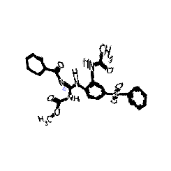 COC(=O)N/C(=N/C(=O)C1CCCCC1)Nc1ccc(S(=O)(=O)c2ccccc2)cc1NC(C)=O